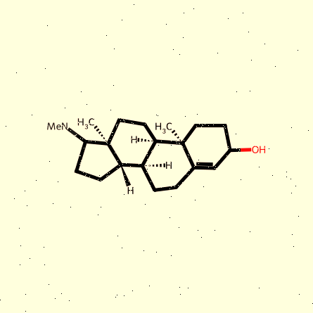 CNC1CC[C@H]2[C@@H]3CCC4=CC(O)CC[C@]4(C)[C@@H]3CC[C@]12C